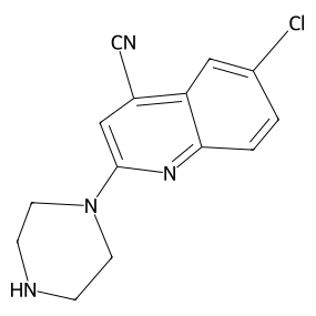 N#Cc1cc(N2CCNCC2)nc2ccc(Cl)cc12